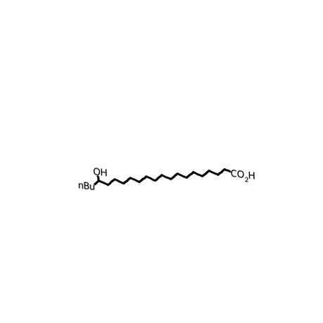 CCCCC(O)CCCCCCCCCCCCCCCCC(=O)O